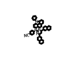 N#Cc1ccc(N(c2nc(-c3ccc4ccccc4c3)cc(-c3ccc4ccccc4c3)n2)c2ccc3c4c2ccc2cccc(c24)n3-c2ccccc2)cc1